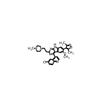 COc1cc2c(cc1-c1c(C)noc1C)[nH]c1nc(CCN3CCN(C)CC3)nc(-c3ccnc4ccc(Cl)cc34)c12